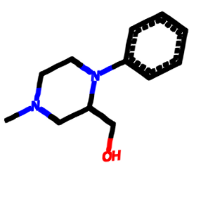 CN1CCN(c2ccccc2)C(CO)C1